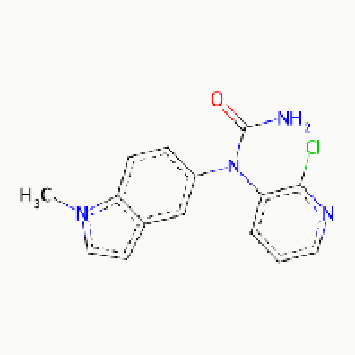 Cn1ccc2cc(N(C(N)=O)c3cccnc3Cl)ccc21